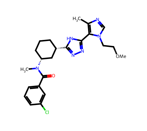 COCCn1cnc(C)c1-c1nnc([C@H]2CCC[C@@H](N(C)C(=O)c3cccc(Cl)c3)C2)[nH]1